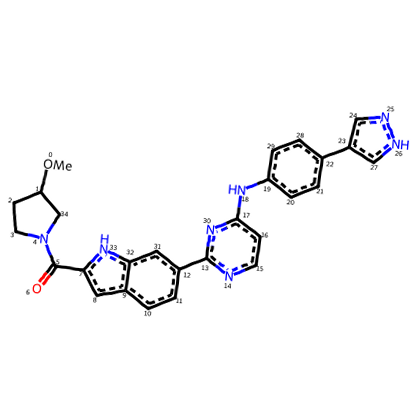 COC1CCN(C(=O)c2cc3ccc(-c4nccc(Nc5ccc(-c6cn[nH]c6)cc5)n4)cc3[nH]2)C1